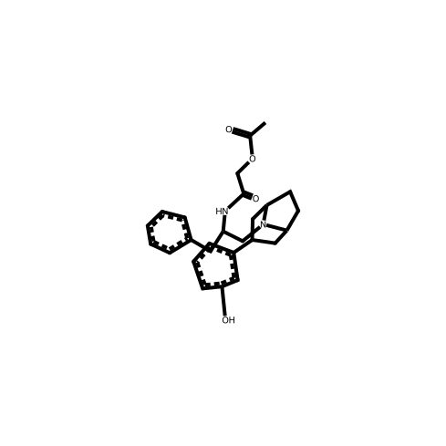 CC(=O)OCC(=O)NC(Cc1ccccc1)CN1C2CCC1CC(c1cccc(O)c1)C2